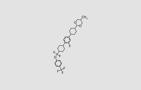 CC1COC(C2CCC(c3ccc(C4CCC(C(F)(F)Oc5ccc(C(F)(F)F)cc5)CC4)c(F)c3)CC2)OC1